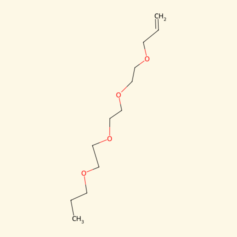 C=CCOCCOCCOCCOCCC